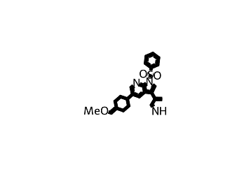 C=C(C=N)c1cn(S(=O)(=O)c2ccccc2)c2ncc(C3CCC(=COC)CC3)cc12